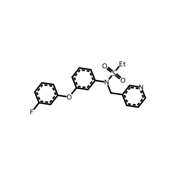 CCS(=O)(=O)N(Cc1cccnc1)c1cccc(Oc2cccc(F)c2)c1